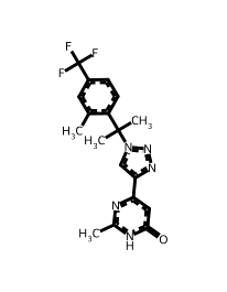 Cc1nc(-c2cn(C(C)(C)c3ccc(C(F)(F)F)cc3C)nn2)cc(=O)[nH]1